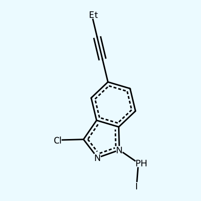 CCC#Cc1ccc2c(c1)c(Cl)nn2PI